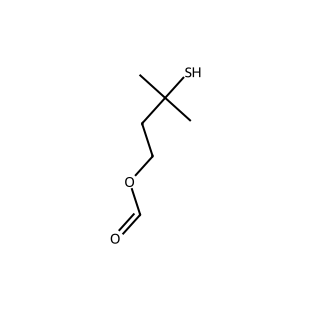 CC(C)(S)CCOC=O